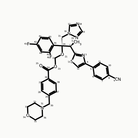 C[C@@H](c1nc(-c2ccc(C#N)cc2)cs1)[C@@](Cn1cncn1)(OCOC(=O)c1ccc(CN2CCOCC2)cc1)c1ccc(F)cc1F